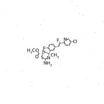 COC(=O)[C@]12C=C1[C@@](C)(c1cc(/C=C(\F)c3ccc(Cl)cn3)ccc1F)N=C(N)S2